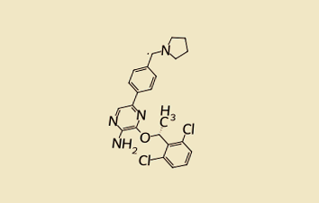 C[C@@H](Oc1nc(-c2ccc([CH]N3CCCC3)cc2)cnc1N)c1c(Cl)cccc1Cl